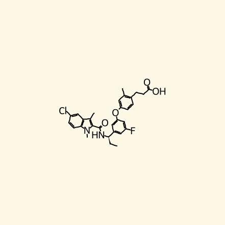 CC[C@@H](NC(=O)c1c(C)c2cc(Cl)ccc2n1C)c1cc(F)cc(Oc2ccc(CCC(=O)O)c(C)c2)c1